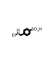 CCNCc1ccc(S(=O)(=O)O)cc1